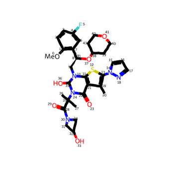 COc1ccc(F)cc1[C@H](CN1c2sc(-n3cccn3)c(C)c2C(=O)N(C(C)(C)C(=O)N2CC(O)C2)C1O)OC1CCOCC1